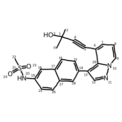 CC(C)(O)C#Cc1cccn2ncc(-c3ccc4cc(NS(C)(=O)=O)ccc4c3)c12